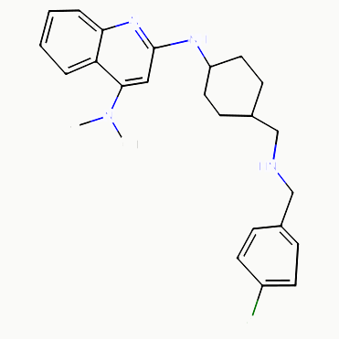 CN(C)c1cc(NC2CCC(CNCc3ccc(Cl)cc3)CC2)nc2ccccc12